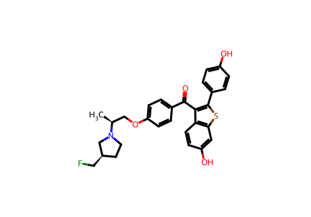 C[C@@H](COc1ccc(C(=O)c2c(-c3ccc(O)cc3)sc3cc(O)ccc23)cc1)N1CC[C@@H](CF)C1